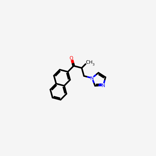 CC(Cn1ccnc1)C(=O)c1ccc2ccccc2c1